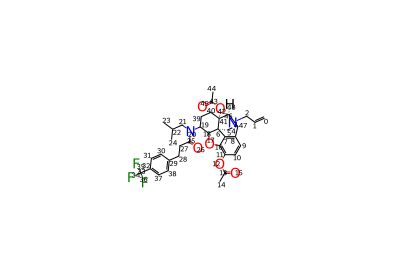 C=CCN1CC[C@]23c4c5ccc(OC(C)=O)c4OC2C(N(CC(C)C)C(=O)CCc2ccc(C(F)(F)F)cc2)CC[C@@]3(OC(C)=O)[C@H]1C5